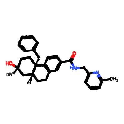 CCC[C@@]1(O)CC[C@@]2(Cc3ccccc3)c3ccc(C(=O)NCc4cccc(C)n4)cc3CC[C@@H]2C1